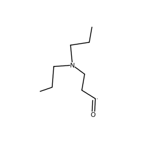 CCCN(CCC)CC[C]=O